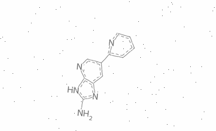 Nc1nc2cc(-c3ccccn3)cnc2[nH]1